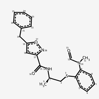 C[C@H](CSc1ccccc1N(C)C=O)NC(=O)c1cc(Cc2ccccc2)on1